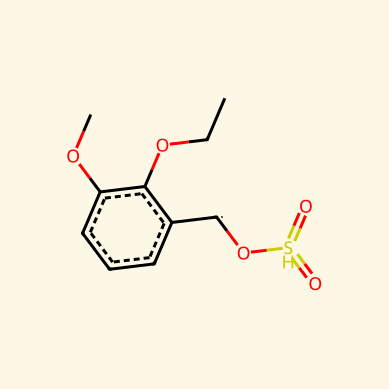 CCOc1c([CH]O[SH](=O)=O)cccc1OC